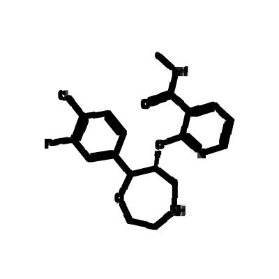 CNC(=O)c1cccnc1O[C@@H]1CNCCOC1c1ccc(Cl)c(F)c1